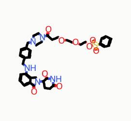 O=C1CCC(N2Cc3c(NCc4ccc(CN5CCN(C(=O)CCOCCOCCOS(=O)(=O)c6ccccc6)CC5)cc4)cccc3C2=O)C(=O)N1